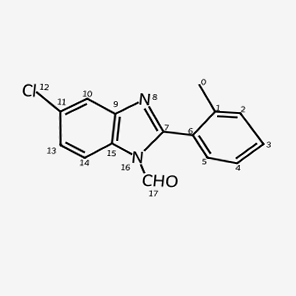 Cc1ccccc1-c1nc2cc(Cl)ccc2n1C=O